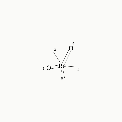 [CH3][Re]([CH3])([CH3])(=[O])=[O]